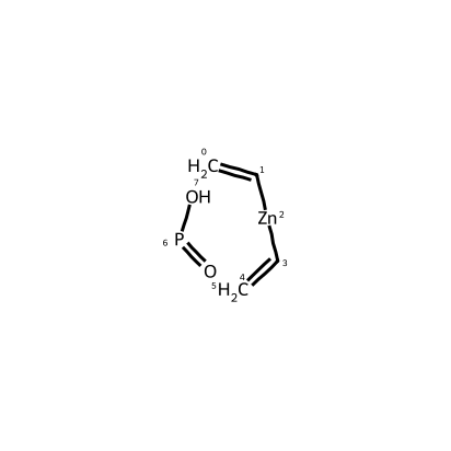 C=[CH][Zn][CH]=C.O=PO